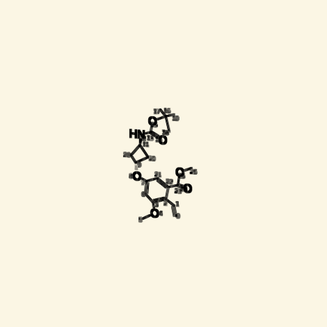 C=Cc1c(OC)cc(O[C@H]2C[C@H](NC(=O)OC(C)(C)C)C2)cc1C(=O)OC